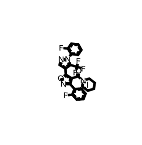 O=C(c1c(-c2c(F)cccc2Cl)noc1-c1cnn(-c2ccccc2F)c1C(F)(F)F)N1CCCCC1